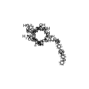 C[C@@H](O)[C@@H]1NC(=O)[C@@H](NCC2CCCN(c3nnc(-c4ccc(-c5cnc(N6CCC(OC7CCCCC7)CC6)nc5)cc4)s3)CC2)C[C@@H](O)CNC(=O)[C@@H]2[C@@H](O)[C@@H](C)CN2C(=O)[C@H]([C@H](O)CC(N)=O)NC(=O)[C@H]([C@H](O)Cc2ccc(O)c(OS(=O)(=O)O)c2)NC(=O)[C@@H]2C[C@@H](O)CN2C1=O